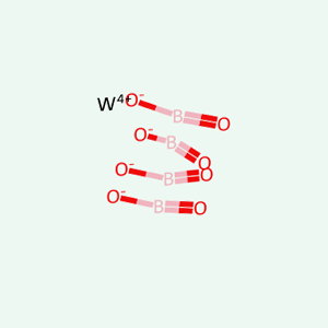 O=B[O-].O=B[O-].O=B[O-].O=B[O-].[W+4]